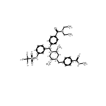 CCN(CC)C(=O)c1ccc([C@H](c2cccc(OS(=O)(=O)C(F)(F)F)c2)N2C[C@@H](C)N(Cc3ccc(C(=O)OC)cc3)C[C@@H]2C)cc1